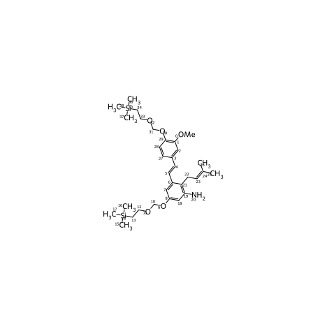 COc1cc(/C=C/c2cc(OCOCC[Si](C)(C)C)cc(N)c2CC=C(C)C)ccc1OCOCC[Si](C)(C)C